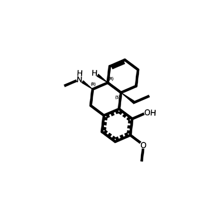 CC[C@]12CCC=C[C@H]1[C@H](NC)Cc1ccc(OC)c(O)c12